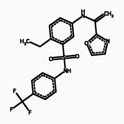 C=C(Nc1ccc(CC)c(S(=O)(=O)Nc2ccc(C(F)(F)F)cc2)c1)c1ncco1